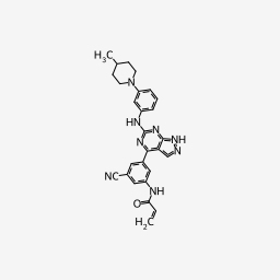 C=CC(=O)Nc1cc(C#N)cc(-c2nc(Nc3cccc(N4CCC(C)CC4)c3)nc3[nH]ncc23)c1